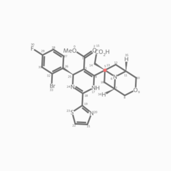 COC(=O)C1=C(CN2[C@@H]3COC[C@H]2C[C@H](CC(=O)O)C3)NC(c2nccs2)=N[C@H]1c1ccc(F)cc1Br